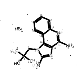 Br.CC(C)(O)Cn1c(N)nc2c(N)nc3ccccc3c21